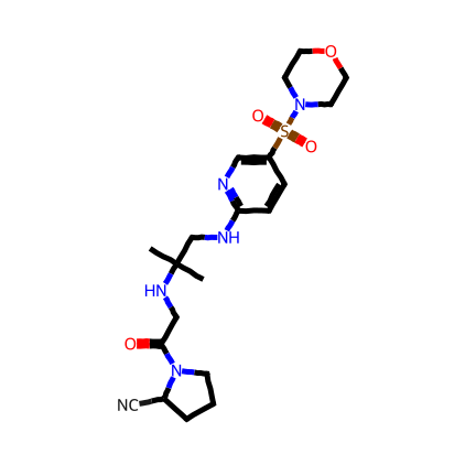 CC(C)(CNc1ccc(S(=O)(=O)N2CCOCC2)cn1)NCC(=O)N1CCCC1C#N